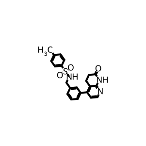 Cc1ccc(S(=O)(=O)NCc2cccc(-c3ccnc4c3CCC(=O)N4)c2)cc1